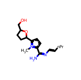 CCC/C=C/N=C(/N)c1ccc(C2CCC(CO)O2)n1C